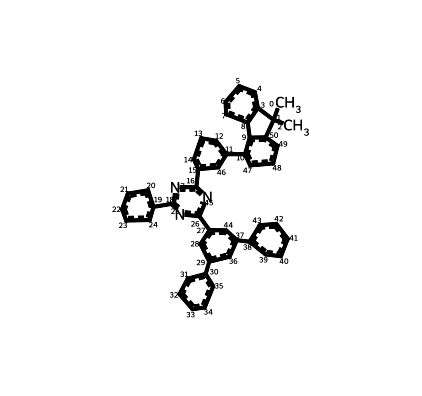 CC1(C)c2ccccc2-c2c(-c3cccc(-c4nc(-c5ccccc5)nc(-c5cc(-c6ccccc6)cc(-c6ccccc6)c5)n4)c3)cccc21